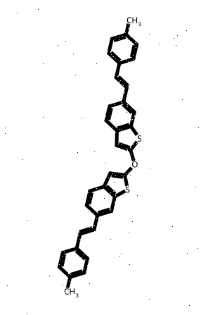 Cc1ccc(/C=C/c2ccc3cc(Oc4cc5ccc(/C=C/c6ccc(C)cc6)cc5s4)sc3c2)cc1